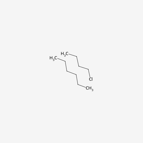 CCCCCC.CCCCCl